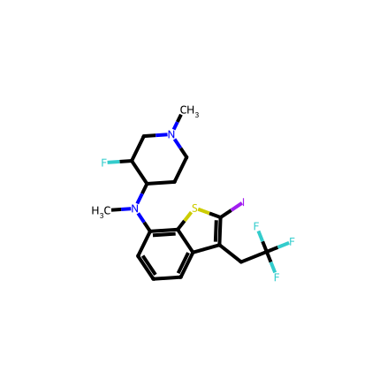 CN1CCC(N(C)c2cccc3c(CC(F)(F)F)c(I)sc23)C(F)C1